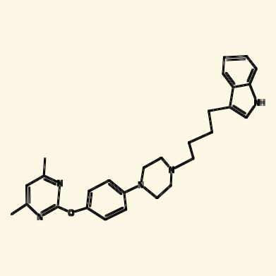 Cc1cc(C)nc(Oc2ccc(N3CCN(CCCCc4c[nH]c5ccccc45)CC3)cc2)n1